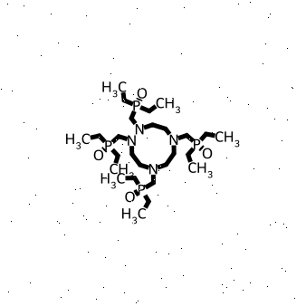 CCP(=O)(CC)CN1CCN(CP(=O)(CC)CC)CCN(CP(=O)(CC)CC)N(CP(=O)(CC)CC)CC1